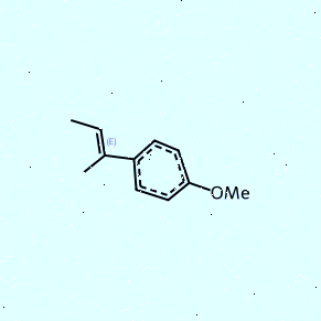 C/C=C(\C)c1ccc(OC)cc1